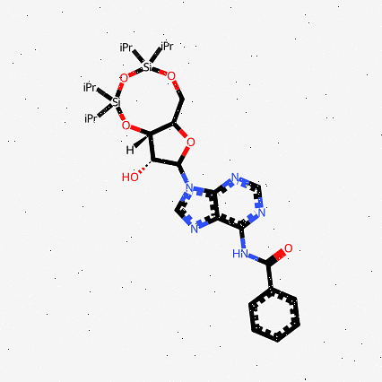 CC(C)[Si]1(C(C)C)OCC2OC(n3cnc4c(NC(=O)c5ccccc5)ncnc43)[C@H](O)[C@@H]2O[Si](C(C)C)(C(C)C)O1